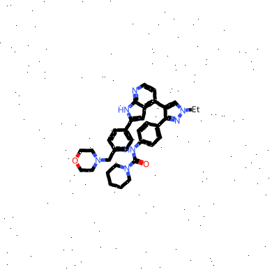 CCn1cc(-c2ccnc3[nH]c(-c4ccc(CN5CCOCC5)cc4)cc23)c(-c2ccc(NC(=O)N3CCCCC3)cc2)n1